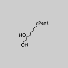 CCCCCCCCC=CC(O)CCO